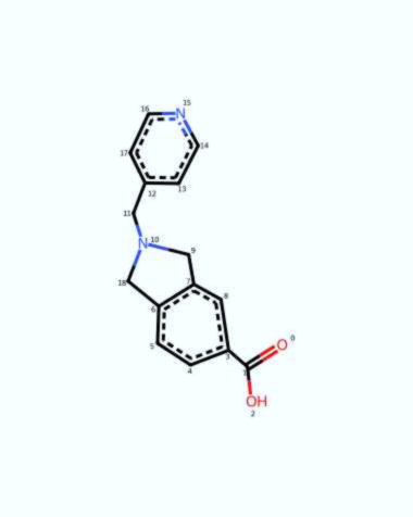 O=C(O)c1ccc2c(c1)CN(Cc1ccncc1)C2